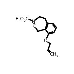 C=CCOc1cccc2c1CCN(C(=O)OCC)CC2